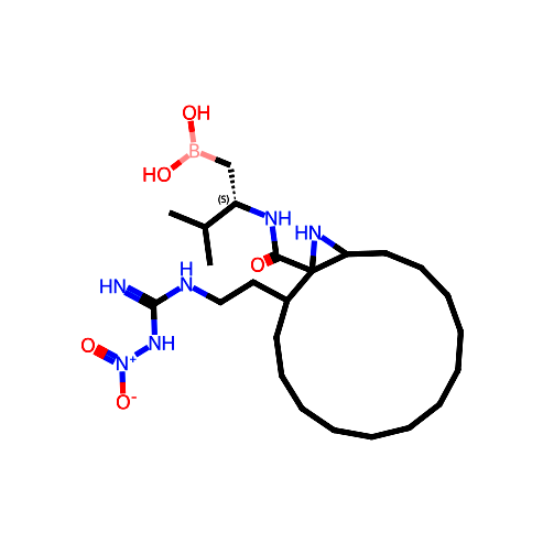 CC(C)[C@H](CB(O)O)NC(=O)C12NC1CCCCCCCCCCCCC2CCNC(=N)N[N+](=O)[O-]